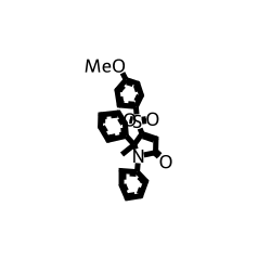 COc1ccc(S(=O)(=O)C2=CC(=O)N(c3ccccc3)C2(C)c2ccccc2)cc1